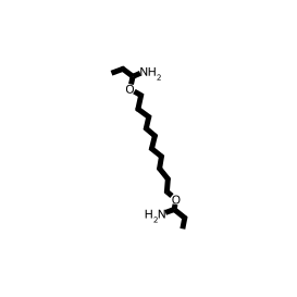 CCC(N)OCCCCCCCCCCOC(N)CC